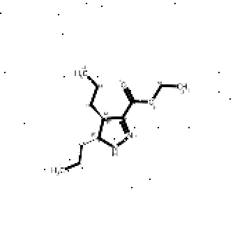 CCC[C@H]1NN=C(C(=O)OCC)[C@@H]1CCC